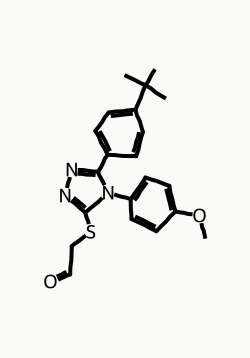 COc1ccc(-n2c(SCC=O)nnc2-c2ccc(C(C)(C)C)cc2)cc1